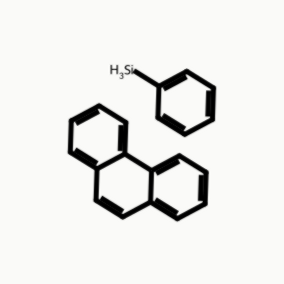 [SiH3]c1ccccc1.c1ccc2c(c1)ccc1ccccc12